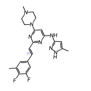 Cc1cc(Nc2cc(N3CCN(C)CC3)nc(/C=C/c3cc(C)c(F)c(F)c3)n2)n[nH]1